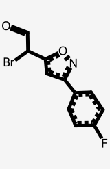 O=CC(Br)c1cc(-c2ccc(F)cc2)no1